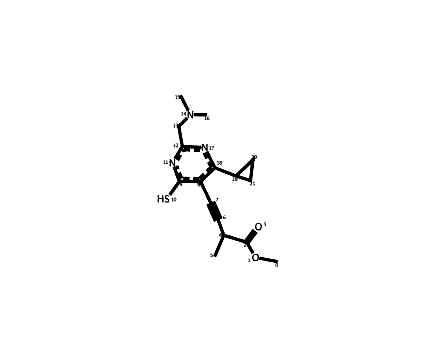 COC(=O)C(C)C#Cc1c(S)nc(CN(C)C)nc1C1CC1